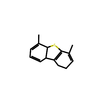 CC1=CCCC2=C1SC1C(C)=CC=CC21